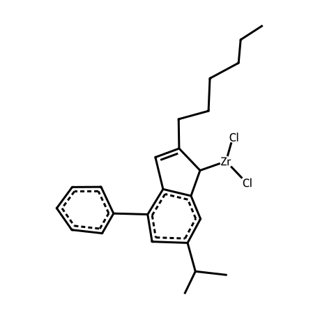 CCCCCCC1=Cc2c(-c3ccccc3)cc(C(C)C)cc2[CH]1[Zr]([Cl])[Cl]